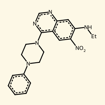 CCNc1cc2ncnc(N3CCN(c4ccccc4)CC3)c2cc1[N+](=O)[O-]